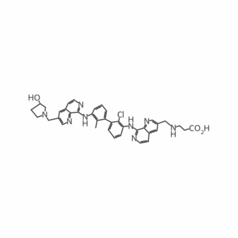 Cc1c(Nc2nccc3cc(CN4CC[C@@H](O)C4)cnc23)cccc1-c1cccc(Nc2nccc3cc(CNCCC(=O)O)cnc23)c1Cl